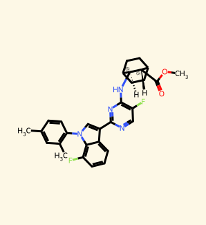 COC(=O)[C@H]1C2CCC(CC2)[C@@H]1Nc1nc(-c2cn(-c3ccc(C)cc3C)c3c(F)cccc23)ncc1F